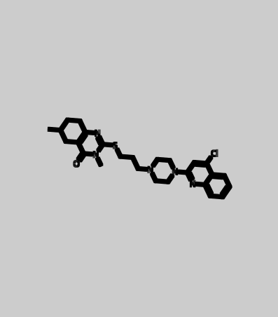 CC1CCc2nc(SCCCN3CCN(c4cc(Cl)c5ccccc5n4)CC3)n(C)c(=O)c2C1